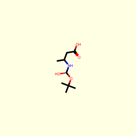 CC(CC(=O)O)N[C@H](O)OC(C)(C)C